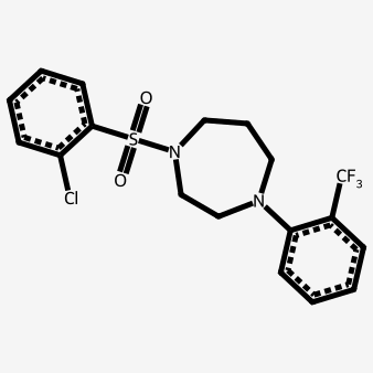 O=S(=O)(c1ccccc1Cl)N1CCCN(c2ccccc2C(F)(F)F)CC1